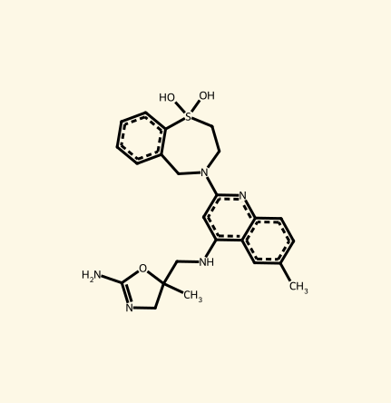 Cc1ccc2nc(N3CCS(O)(O)c4ccccc4C3)cc(NCC3(C)CN=C(N)O3)c2c1